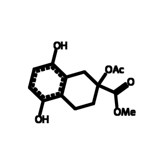 COC(=O)C1(OC(C)=O)CCc2c(O)ccc(O)c2C1